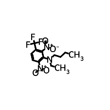 CCCCN(CC)c1c([N+](=O)[O-])ccc(C(F)(F)F)c1[N+](=O)[O-]